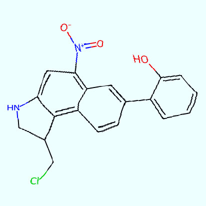 O=[N+]([O-])c1cc2c(c3ccc(-c4ccccc4O)cc13)C(CCl)CN2